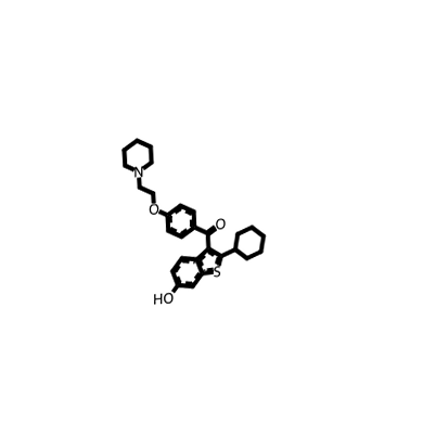 O=C(c1ccc(OCCN2CCCCC2)cc1)c1c(C2CCCCC2)sc2cc(O)ccc12